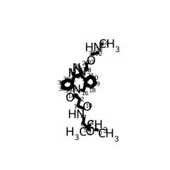 CCOC(C)(C)CCNC(=O)CCC(=O)N1Cc2ccccc2-c2c(nnn2CCOCCNC)-c2ccccc21